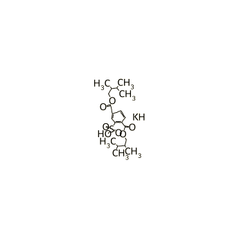 CC(C)C(C)COC(=O)c1ccc(C(=O)OCC(C)C(C)C)c(S(=O)(=O)O)c1.[KH]